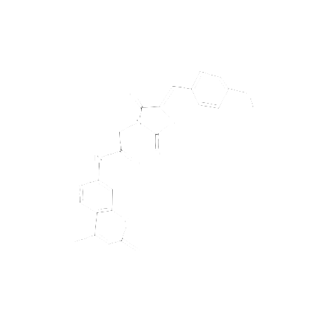 COc1ccc(/C=C2\SC(=O)N(CC(=O)Nc3ccc4c(C)cc(=O)oc4c3)C2=O)cc1